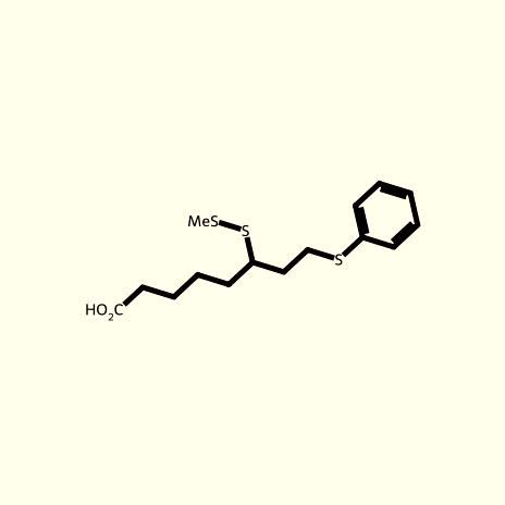 CSSC(CCCCC(=O)O)CCSc1ccccc1